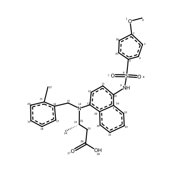 COc1ccc(S(=O)(=O)Nc2ccc(N(Cc3ccccc3C)[C@@H](C)CC(=O)O)c3ccccc23)cc1